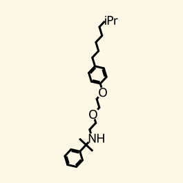 CC(C)CCCCCc1ccc(OCCOCCNC(C)(C)c2ccccc2)cc1